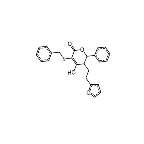 O=C1OC(c2ccccc2)C(CCc2ccco2)C(O)=C1SCc1ccccc1